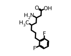 CC(CCCc1c(F)cccc1F)CC(N)CC(=O)O